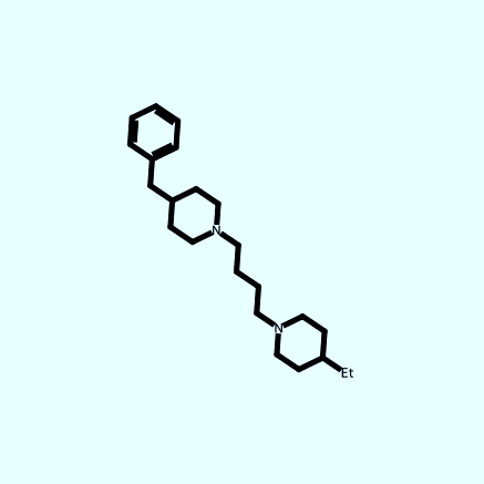 CCC1CCN(CCCCN2CCC(Cc3ccccc3)CC2)CC1